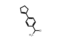 CC(Cl)c1ccc(C2=CCCC2)cc1